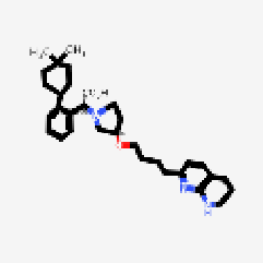 CC1(C)CCC(c2ccccc2[C@H](C(=O)O)N2CC[C@@H](OCCCCc3ccc4c(n3)NCCC4)C2)CC1